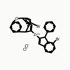 Brc1cccc2c1C(c1ccccc1)[C]([Zr+2][C]1=Cc3c4ccc(Br)c3C1c1ccc(cc1)O4)=C2.[Cl-].[Cl-]